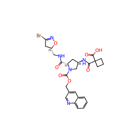 O=C(NC[C@@H]1CC(Br)=NO1)[C@@H]1C[C@@H](NC(=O)C2(C(=O)O)CCC2)CN1C(=O)OCc1cnc2ccccc2c1